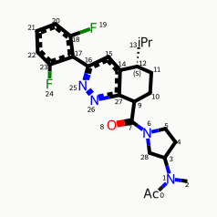 CC(=O)N(C)C1CCN(C(=O)C2CC[C@@H](C(C)C)c3cc(-c4c(F)cccc4F)nnc32)C1